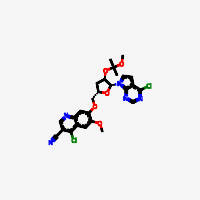 COc1cc2c(Cl)c(C#N)cnc2cc1OC[C@@H]1C[C@@H](OC(C)(C)OC)[C@H](n2ccc3c(Cl)ncnc32)O1